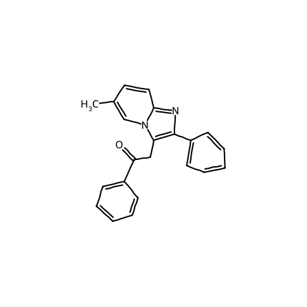 Cc1ccc2nc(-c3ccccc3)c(CC(=O)c3ccccc3)n2c1